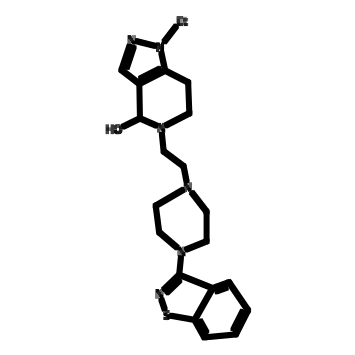 CCn1ncc2c1CCN(CCN1CCN(c3nsc4ccccc34)CC1)C2O